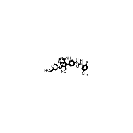 N#CCc1c(-c2ccc(NC(=O)Nc3cc(C(F)(F)F)ccc3F)cc2)c2c(N)ncnn2c1CN1CCOC(CO)C1